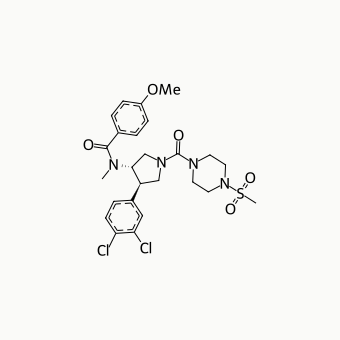 COc1ccc(C(=O)N(C)[C@@H]2CN(C(=O)N3CCN(S(C)(=O)=O)CC3)C[C@H]2c2ccc(Cl)c(Cl)c2)cc1